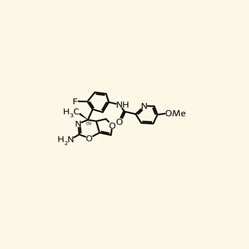 COc1ccc(C(=O)Nc2ccc(F)c([C@@]3(C)N=C(N)OC4=COCC43)c2)nc1